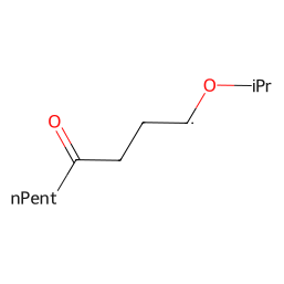 CCCCCC(=O)CC[CH]OC(C)C